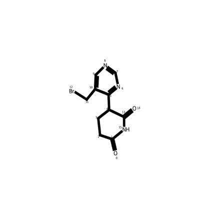 O=C1CCC(c2ncncc2CBr)C(=O)N1